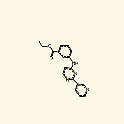 CCOC(=O)c1cccc(Nc2ccnc(-c3cccnc3)n2)c1